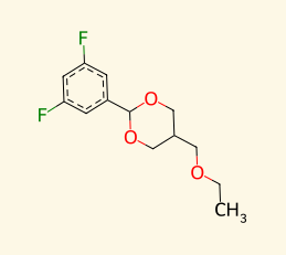 CCOCC1COC(c2cc(F)cc(F)c2)OC1